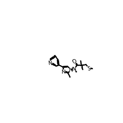 CSCC(C)(C)C(=O)N(C)n1cc(-c2cccnc2)nc1C